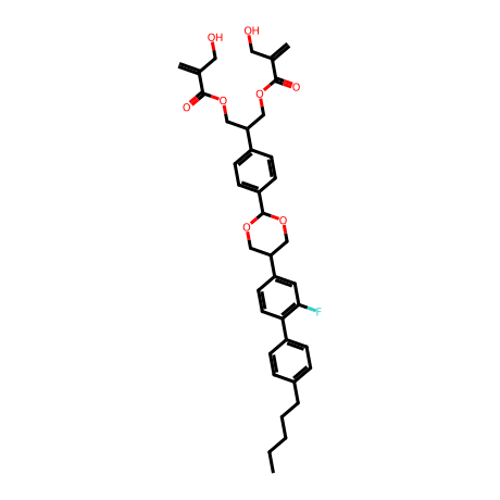 C=C(CO)C(=O)OCC(COC(=O)C(=C)CO)c1ccc(C2OCC(c3ccc(-c4ccc(CCCCC)cc4)c(F)c3)CO2)cc1